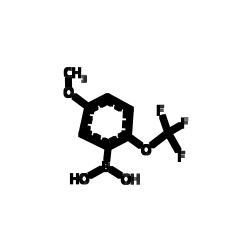 COc1ccc(OC(F)(F)F)c(B(O)O)c1